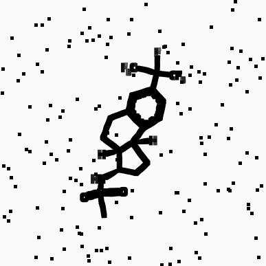 CS(=O)(=O)N[C@@H]1CC[C@H]2c3ccc(C(F)(C(F)(F)F)C(F)(F)F)cc3CC[C@@H]12